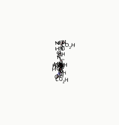 CN(C)c1ccc2c(-c3ccc(C(=O)NCCCCCC(=O)NCCC[N+](C)(C)CCCC[N+](C)(C)CCCNP(=O)(O)OP(=O)(O)OP(=O)(O)OC[C@H]4O[C@@H](n5cc(/C=C/CNC(=O)CCC(=O)O)c(=O)[nH]c5=O)CC4O)cc3C(=O)O)c3ccc(=[N+](C)C)cc-3oc2c1